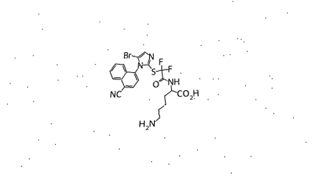 N#Cc1ccc(-n2c(Br)cnc2SC(F)(F)C(=O)NC(CCCCN)C(=O)O)c2ccccc12